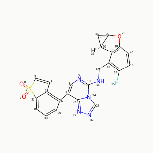 O=S1(=O)C=Cc2c(-c3cnc(NCc4c(F)ccc5c4[C@H]4C=C4O5)n4cnnc34)cccc21